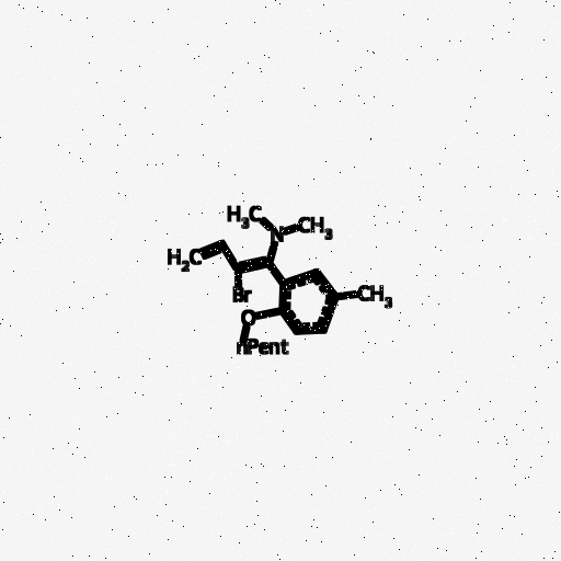 C=C/C(Br)=C(/c1cc(C)ccc1OCCCCC)N(C)C